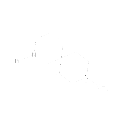 CC(C)N1CCCC2(CCN(C)CC2)C1